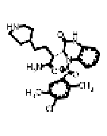 Cc1cc(S(=O)(=O)N2c3ccccc3NC(=O)[C@H]2C(CCC2CCNCC2)C(N)=O)c(C)cc1Cl